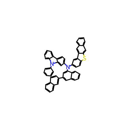 c1ccc(-n2c3ccccc3c3ccc(N(c4ccc5sc6cc7ccccc7cc6c5c4)c4cc(-c5ccc6ccccc6c5)cc5ccccc45)cc32)cc1